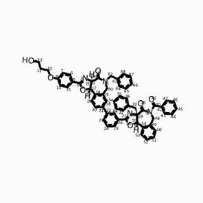 O=C1[C@@H]2N=C(c3ccc(OCCCO)cc3)O[C@H]2c2ccc(-c3cccc(C4=N[C@]5(Cc6ccccc6)C(=O)N(C(=O)c6ccccc6)Cc6ccccc6[C@@H]5O4)c3)cc2CN1Cc1ccccc1